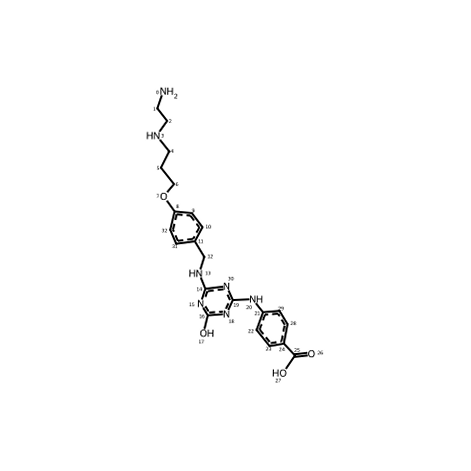 NCCNCCCOc1ccc(CNc2nc(O)nc(Nc3ccc(C(=O)O)cc3)n2)cc1